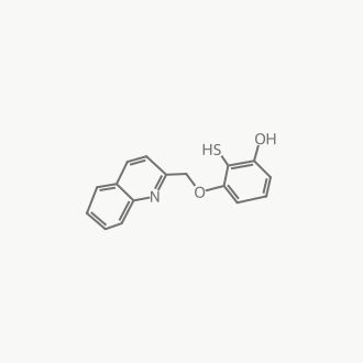 Oc1cccc(OCc2ccc3ccccc3n2)c1S